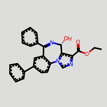 CCOC(=O)c1ncn2c1[C@@H](O)N=C(c1ccccc1)c1cc(-c3ccccc3)ccc1-2